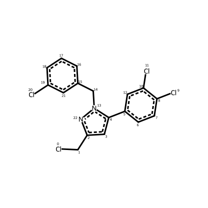 ClCc1cc(-c2ccc(Cl)c(Cl)c2)n(Cc2cccc(Cl)c2)n1